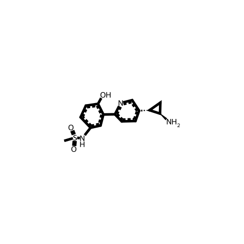 CS(=O)(=O)Nc1ccc(O)c(-c2ccc([C@@H]3C[C@H]3N)cn2)c1